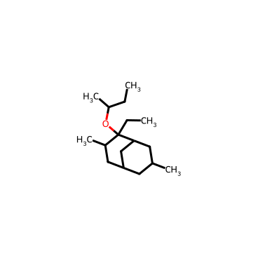 CCC(C)OC1(CC)C(C)CC2CC(C)CC1C2